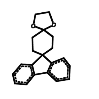 c1ccc2c(c1)-c1ccccc1C21CCC2(CC1)OCCO2